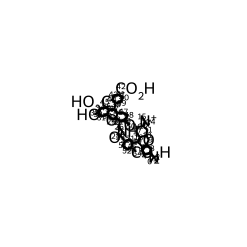 CN(C)c1ccc2c(c1)OC1CC(=[N+](C)C)CCC1=C2c1cc(C(=O)NCc2c3oc4cc(O)ccc4c(-c4ccc(C(=O)O)cc4C(=O)O)c-3ccc2=O)ccc1C(=O)O